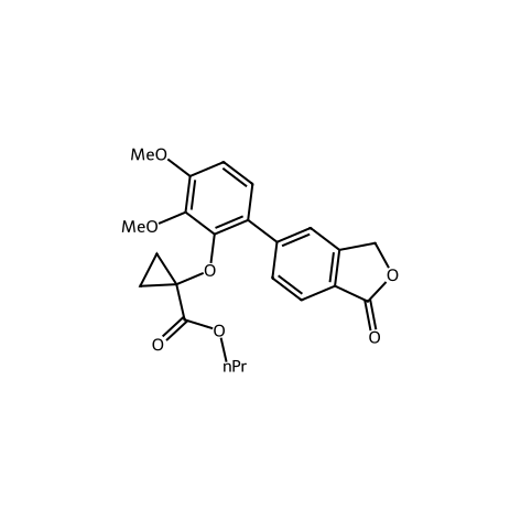 CCCOC(=O)C1(Oc2c(-c3ccc4c(c3)COC4=O)ccc(OC)c2OC)CC1